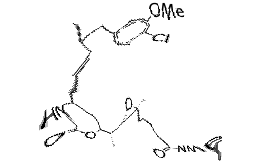 CNC(=O)CC[C@]1(C)O[C@H]1[C@H](C)C1CC(C/C=C/C=C(\C)Cc2ccc(Cl)c(OC)c2)NC(=O)O1